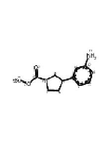 CC(C)(C)OC(=O)N1CCC(c2cccc(N)c2)C1